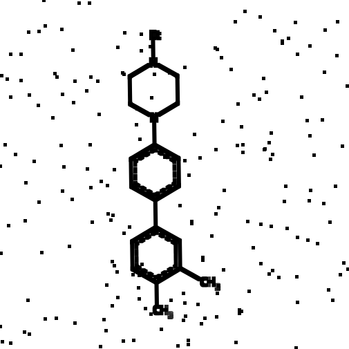 CCN1CCN(c2ccc(-c3ccc(C)c(C)c3)cc2)CC1